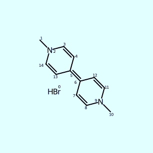 Br.CN1C=CC(=C2C=CN(C)C=C2)C=C1